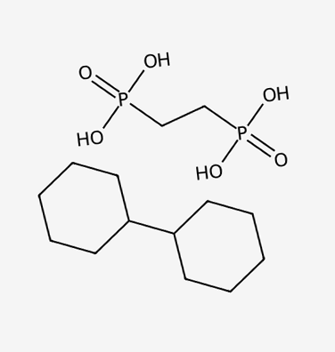 C1CCC(C2CCCCC2)CC1.O=P(O)(O)CCP(=O)(O)O